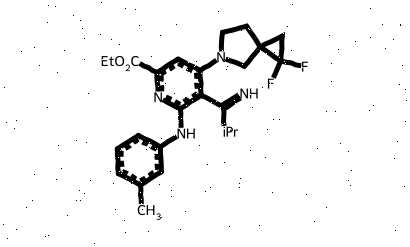 CCOC(=O)c1cc(N2CCC3(C2)CC3(F)F)c(C(=N)C(C)C)c(Nc2cccc(C)c2)n1